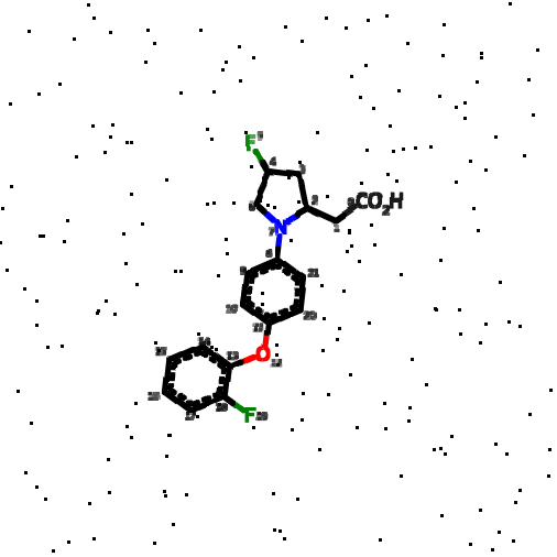 O=C(O)CC1CC(F)CN1c1ccc(Oc2ccccc2F)cc1